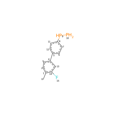 Cc1ccc(-c2ccc(PP)cc2)cc1F